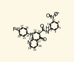 O=C(Nc1cccc([N+](=O)[O-])c1)c1cn(-c2ccc(F)cc2)c2ncccc2c1=O